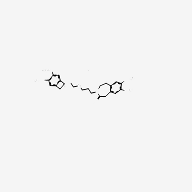 COc1cc2c(cc1OC)CC(=O)N(CCCNCC[C@@H]1Cc3cc(OC)c(OC)cc31)CC2.Cl